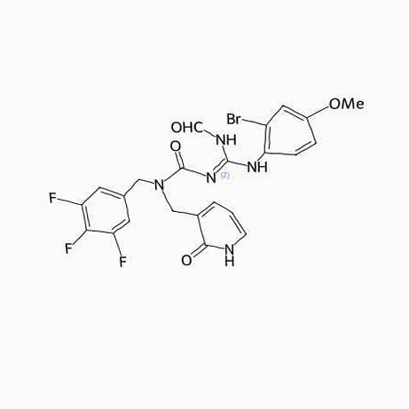 COc1ccc(N/C(=N/C(=O)N(Cc2cc(F)c(F)c(F)c2)Cc2ccc[nH]c2=O)NC=O)c(Br)c1